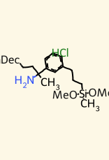 CCCCCCCCCCCCC(C)(N)c1cccc(CCC[Si](C)(OC)OC)c1.Cl